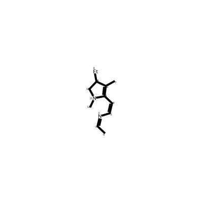 C/C=N\C=C/C1=C(C)C(CC)CN1C